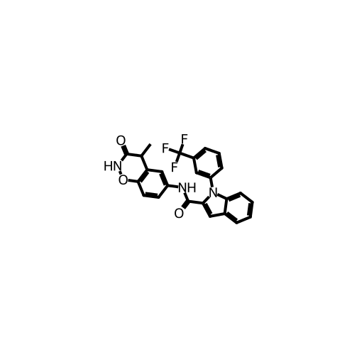 CC1C(=O)NOc2ccc(NC(=O)c3cc4ccccc4n3-c3cccc(C(F)(F)F)c3)cc21